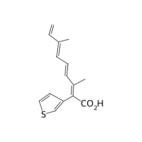 C=C/C(C)=C/C=C/C(C)=C(/C(=O)O)c1ccsc1